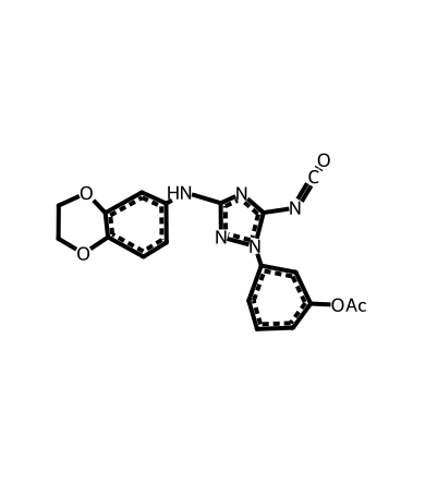 CC(=O)Oc1cccc(-n2nc(Nc3ccc4c(c3)OCCO4)nc2N=C=O)c1